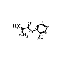 C=C(C)C(=O)Sc1ccccc1S